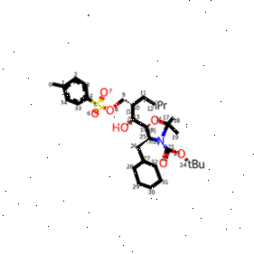 Cc1ccc(S(=O)(=O)OC[C@H](CC(C)C)[C@H](O)[C@@H]2OC(C)(C)N(C(=O)OC(C)(C)C)[C@H]2CC2CCCCC2)cc1